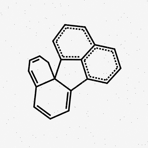 C1=CCC23C(=C1)C=CC=C2c1cccc2cccc3c12